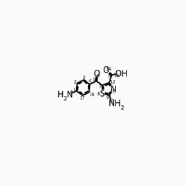 Nc1ccc(C(=O)c2sc(N)nc2C(=O)O)cc1